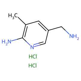 Cc1cc(CN)cnc1N.Cl.Cl